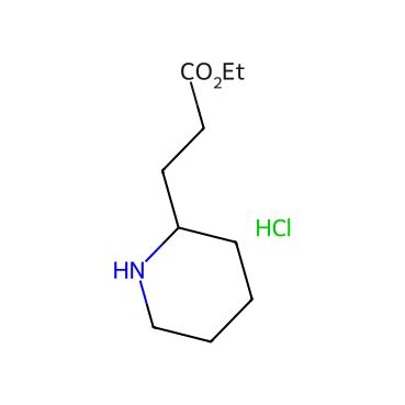 CCOC(=O)CCC1CCCCN1.Cl